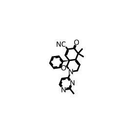 Cc1nccc(N2CC=C3C(C)(C)C(=O)C(C#N)=C[C@@]3(c3ccccc3)C2=O)n1